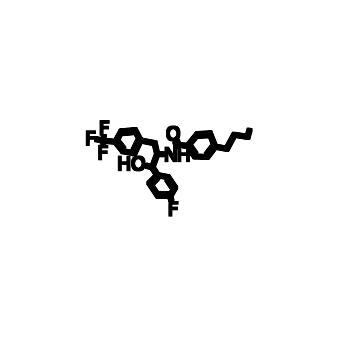 CCCCc1ccc(C(=O)NC(Cc2ccc(C(F)(F)F)cc2)C(O)c2ccc(F)cc2)cc1